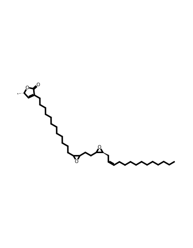 CCCCCCCCCCC/C=C\C[C@@H]1OC1CCC1OC1CCCCCCCCCCCCC1=C[C@H](C)OC1=O